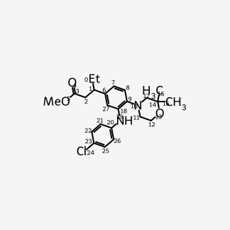 CCC(CC(=O)OC)c1ccc(N2CCOC(C)(C)C2)c(Nc2ccc(Cl)cc2)c1